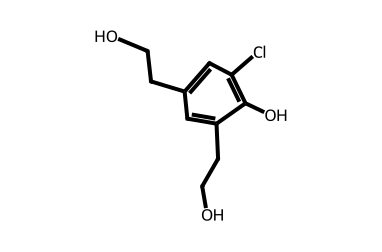 OCCc1cc(Cl)c(O)c(CCO)c1